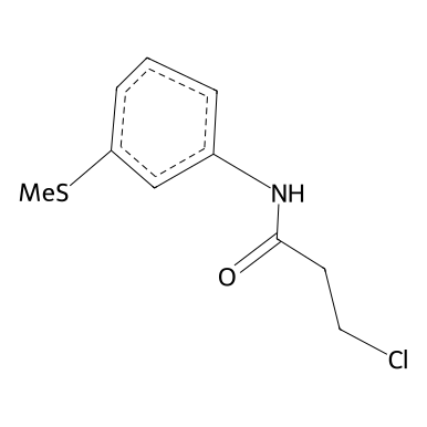 CSc1cccc(NC(=O)CCCl)c1